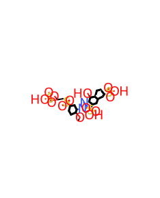 COc1ccc(S(=O)(=O)CCOS(=O)(=O)O)cc1/N=N/c1c(S(=O)(=O)O)cc2cc(S(=O)(=O)O)ccc2c1O